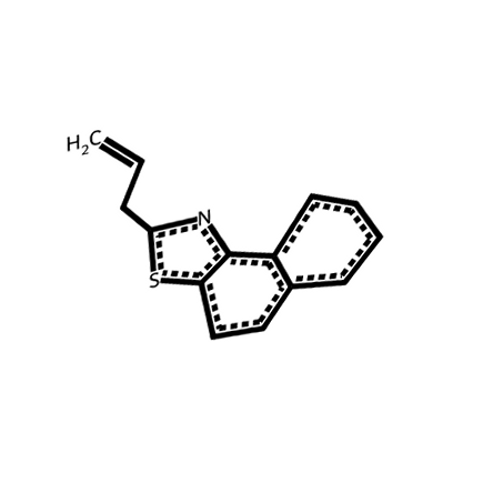 C=CCc1nc2c(ccc3ccccc32)s1